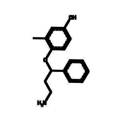 Cc1cc(O)ccc1OC(CCN)c1ccccc1